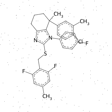 Cc1cc(F)c(CSc2nc3c(n2-c2ccc(F)cc2)C(C)(c2ccc(Cl)c(C)c2)CCC3)c(F)c1